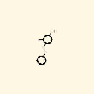 Cc1cc(O)ccc1N=Nc1ccccc1